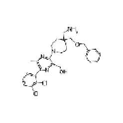 Cc1nc(N2CCC(CN)(COCc3ccccc3)CC2)c(CO)nc1-c1cccc(Cl)c1Cl